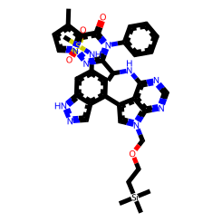 Cc1ccn2nc(C(C)Nc3ncnc4c3c(-c3cc(NS(C)(=O)=O)cc5[nH]ncc35)cn4COCC[Si](C)(C)C)n(-c3ccccc3)c(=O)c12